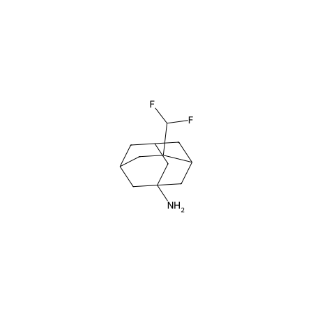 NC12CC3CC(CC(C(F)F)C(C3)C1)C2